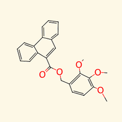 COc1ccc(COC(=O)c2cc3ccccc3c3ccccc23)c(OC)c1OC